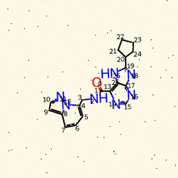 O=C(NCc1cccc2ccnn12)c1ncnc2nc(C3CCCC3)[nH]c12